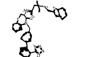 CC(C)(CC(=O)N[C@@H]1CSc2ccccc2N(Cc2ccc(-c3ccccc3-c3nnn[nH]3)cc2)C1=O)NCc1cc2ccccc2o1